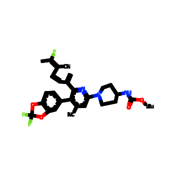 C=C(/C=C\C(C#N)=C(/C)F)c1nc(N2CCC(NC(=O)OC(C)(C)C)CC2)cc(C#N)c1-c1ccc2c(c1)OC(F)(F)O2